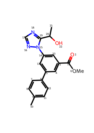 COC(=O)c1cc(-c2ccc(C)cc2)cc(-n2ncnc2C(C)O)c1